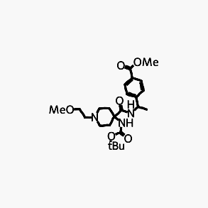 COCCN1CCC(NC(=O)OC(C)(C)C)(C(=O)NC(C)c2ccc(C(=O)OC)cc2)CC1